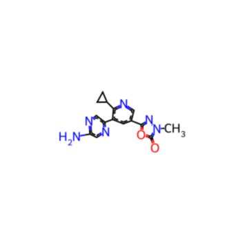 Cn1nc(-c2cnc(C3CC3)c(-c3cnc(N)cn3)c2)oc1=O